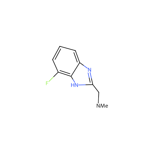 CNCc1nc2cccc(F)c2[nH]1